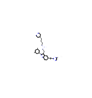 Cc1cc(C)cc(-c2[nH]c3ccc(C(C)(C)c4nc(C)c[nH]4)cc3c2CCNCCCCc2ccncc2)c1